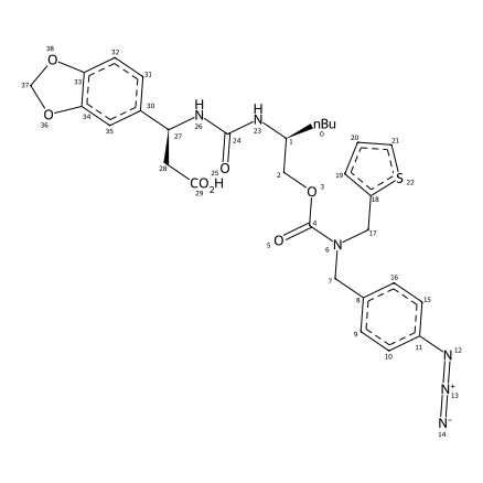 CCCC[C@@H](COC(=O)N(Cc1ccc(N=[N+]=[N-])cc1)Cc1cccs1)NC(=O)N[C@@H](CC(=O)O)c1ccc2c(c1)OCO2